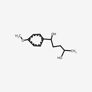 COc1ccc(C(O)CCC(C)O)cc1